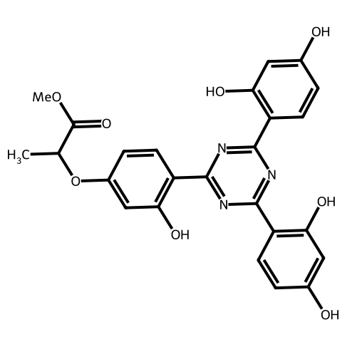 COC(=O)C(C)Oc1ccc(-c2nc(-c3ccc(O)cc3O)nc(-c3ccc(O)cc3O)n2)c(O)c1